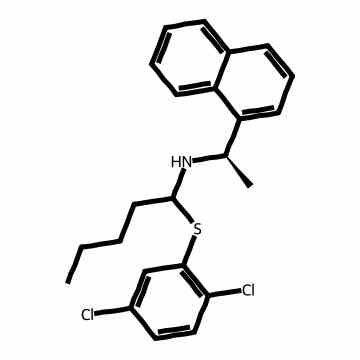 CCCCC(N[C@H](C)c1cccc2ccccc12)Sc1cc(Cl)ccc1Cl